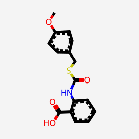 COc1ccc(CSC(=O)Nc2ccccc2C(=O)O)cc1